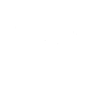 CC=CCC12CC(=CC)C(CC1=CC)C2